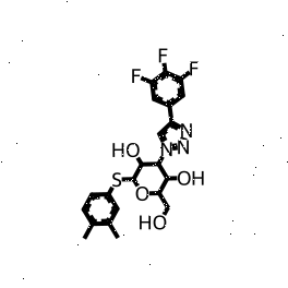 Cc1ccc(SC2OC(CO)C(O)C(n3cc(-c4cc(F)c(F)c(F)c4)nn3)C2O)cc1C